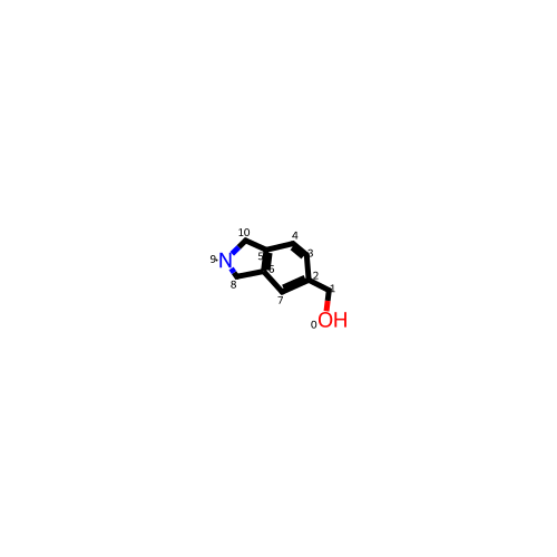 OCc1ccc2c(c1)C[N]C2